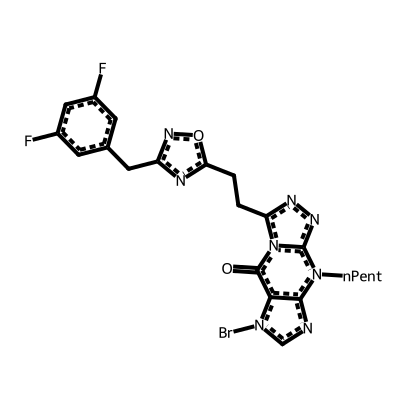 CCCCCn1c2ncn(Br)c2c(=O)n2c(CCc3nc(Cc4cc(F)cc(F)c4)no3)nnc12